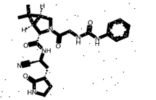 CC1(C)[C@@H]2[C@@H](C(=O)N[C@H](C#N)C[C@@H]3CCNC3=O)N(C(=O)CNC(=O)Nc3ccccc3)C[C@@H]21